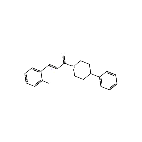 O=C(/C=C/c1ccccc1Cl)N1CCC(c2ccccc2)CC1